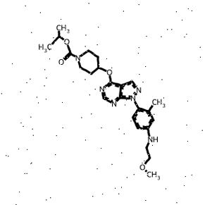 COCCNc1ccc(-n2ncc3c(OC4CCN(C(=O)OC(C)C)CC4)ncnc32)c(C)c1